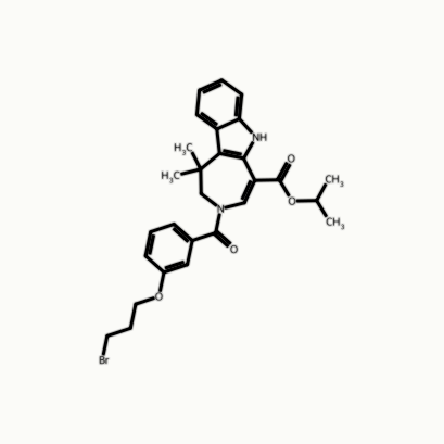 CC(C)OC(=O)C1=CN(C(=O)c2cccc(OCCCBr)c2)CC(C)(C)c2c1[nH]c1ccccc21